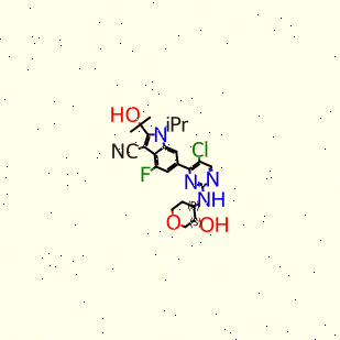 CC(C)n1c(C(C)(C)O)c(C#N)c2c(F)cc(-c3nc(N[C@@H]4CCOC[C@H]4O)ncc3Cl)cc21